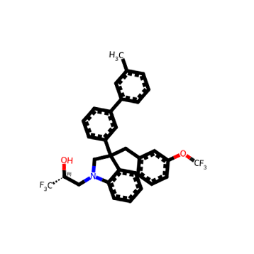 Cc1cccc(-c2cccc(C3(Cc4cccc(OC(F)(F)F)c4)CN(C[C@@H](O)C(F)(F)F)c4ccccc43)c2)c1